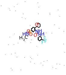 CCNS(=O)(=O)c1ccc(C2CCCCO2)c(NC(=O)Nc2cccc(C(F)(F)F)c2)c1